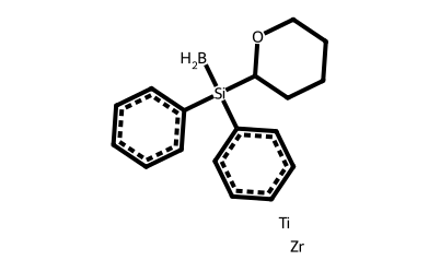 B[Si](c1ccccc1)(c1ccccc1)C1CCCCO1.[Ti].[Zr]